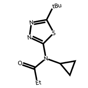 CCC(=O)N(c1nnc(C(C)(C)C)s1)C1CC1